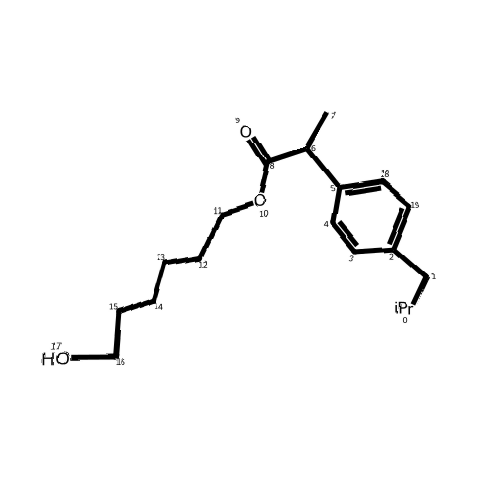 CC(C)Cc1ccc(C(C)C(=O)OCCCCCCO)cc1